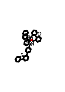 c1ccc(-c2nc(-c3ccc(-c4cccc5c4sc4ccccc45)cc3)nc(-c3cccc4oc5cccc(-c6nc7ccccc7n6-c6ccccc6)c5c34)n2)cc1